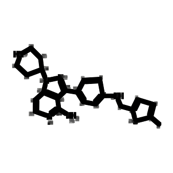 Cc1ccc(CNc2ccc(-c3nn(C4CCNCC4)c4ccnc(N)c34)cc2)s1